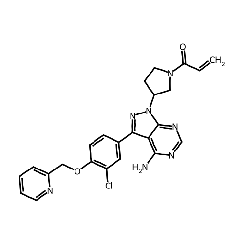 C=CC(=O)N1CCC(n2nc(-c3ccc(OCc4ccccn4)c(Cl)c3)c3c(N)ncnc32)C1